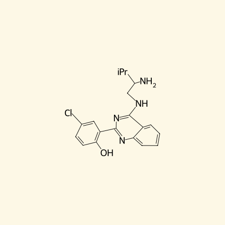 CC(C)C(N)CNc1nc(-c2cc(Cl)ccc2O)nc2ccccc12